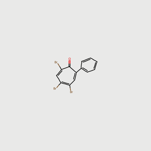 O=c1c(Br)cc(Br)c(Br)cc1-c1ccccc1